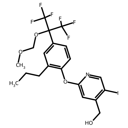 CCCc1cc(C(OCOC)(C(F)(F)F)C(F)(F)F)ccc1Oc1cc(CO)c(I)cn1